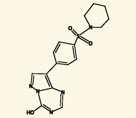 O=S(=O)(c1ccc(-c2cnn3c(O)ncnc23)cc1)N1CCCCC1